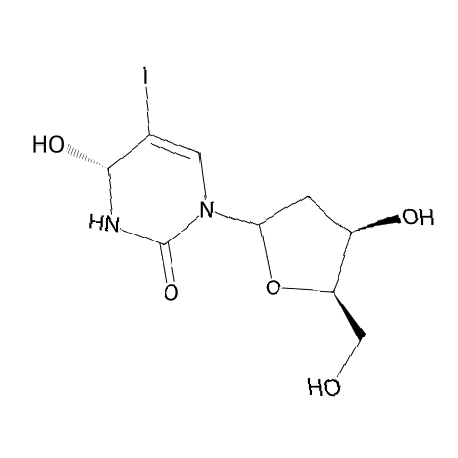 O=C1N[C@H](O)C(I)=CN1C1C[C@@H](O)[C@@H](CO)O1